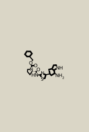 Nc1cc(-c2csc(NC(=O)[C@@H]3CCCN3C(=O)OCc3ccccc3)n2)cc2cc[nH]c12